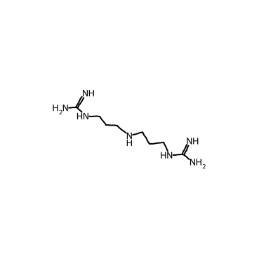 N=C(N)NCCCNCCCNC(=N)N